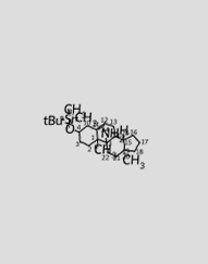 CC12CCC(O[Si](C)(C)C(C)(C)C)CC1=CCC1[C@@H]3CCC[C@@]3(C)CC[C@@]12N